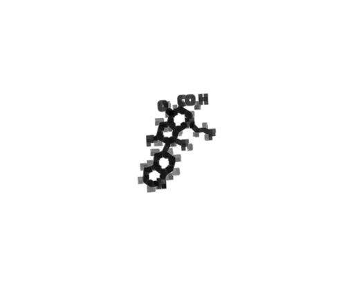 O=C(O)c1cn(CCF)c2c(F)c(-c3ccc4ncccc4c3)c(F)cc2c1=O